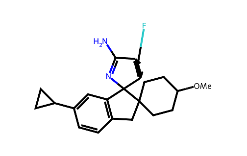 COC1CCC2(CC1)Cc1ccc(C3CC3)cc1C21N=C(N)c2c(F)cccc21